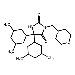 CC1CC(C)CC(C2(C3CC(C)CC(C)C3)NC(=O)N(CN3CCOCC3)C2=O)C1